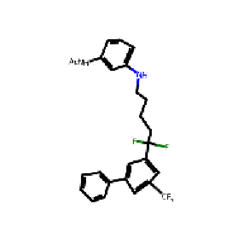 CC(=O)Nc1cccc(NCCCCC(F)(F)c2cc(-c3ccccc3)cc(C(F)(F)F)c2)c1